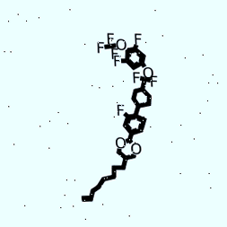 C=CCCCCCCC1COC(c2ccc(C3CCC(C(F)(F)Oc4cc(F)c(OC(F)(F)F)c(F)c4)CC3)c(F)c2)OC1